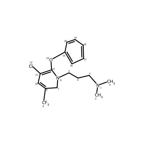 CN(C)CCCN1CC(C(F)(F)F)=CC(Cl)=C1Oc1cc[c]cc1